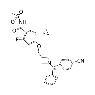 CS(=O)(=O)NC(=O)c1cc(C2CC2)c(OCC2CN([C@H](c3ccccc3)c3ccc(C#N)cc3)C2)cc1F